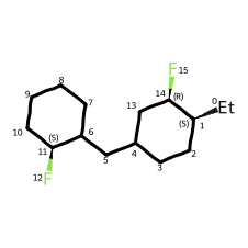 CC[C@H]1CCC(CC2CCCC[C@@H]2F)C[C@H]1F